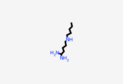 CCCCCNCCCCC(N)N